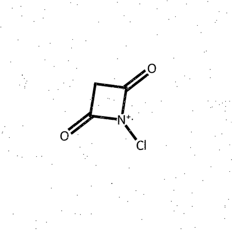 O=C1CC(=O)[N+]1Cl